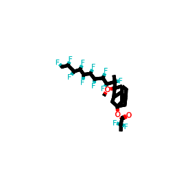 COC1(C(C)(F)C(F)C(F)C(F)C(F)C(F)C(F)C(F)C(F)CF)C2CC3CC1CC(OC(=O)C(C)(F)F)(C3)C2